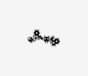 O=C(NC(CCN1CC2CN(C(=O)c3nccc4ccccc34)C[C@@H]2C1)c1ccccc1)OC1CCOC1